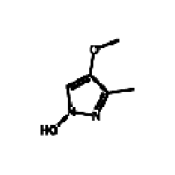 COc1cn(O)nc1C